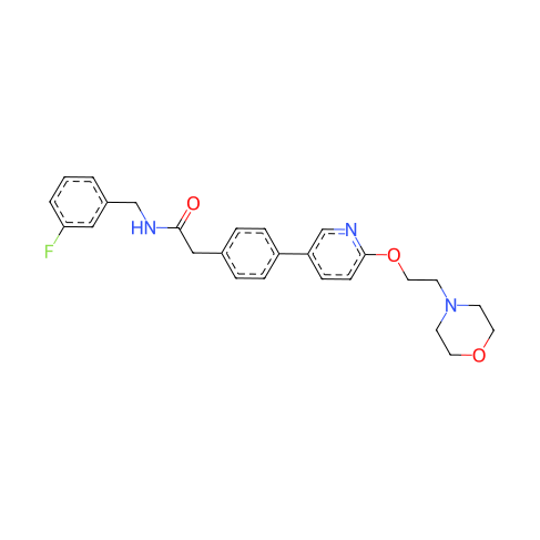 O=C(Cc1ccc(-c2ccc(OCCN3CCOCC3)nc2)cc1)NCc1cccc(F)c1